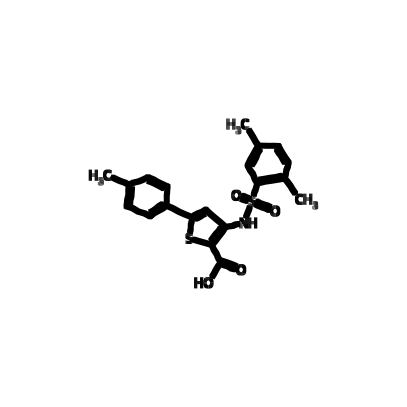 Cc1ccc(-c2cc(NS(=O)(=O)c3cc(C)ccc3C)c(C(=O)O)s2)cc1